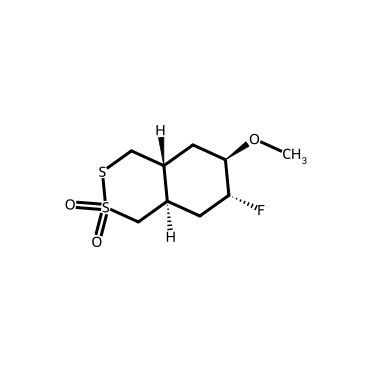 CO[C@@H]1C[C@H]2CSS(=O)(=O)C[C@@H]2C[C@H]1F